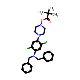 CC(C)(C)C(=O)ON1CCN(c2cc(F)c(N(Cc3ccccc3)Cc3ccccc3)cc2F)CC1